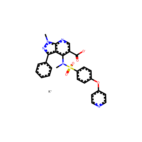 CN(c1c(C(=O)[O-])cnc2c1c(-c1ccccc1)nn2C)S(=O)(=O)c1ccc(Oc2ccncc2)cc1.[K+]